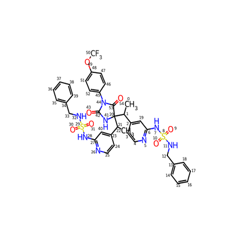 CC(c1ccnc(NS(=O)(=O)NCc2ccccc2)c1)C1(C(C)c2ccnc(NS(=O)(=O)NCc3ccccc3)c2)NC(=O)N(c2ccc(OC(F)(F)F)cc2)C1=O